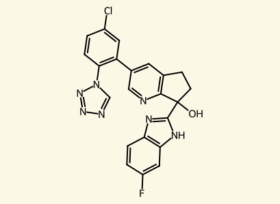 OC1(c2nc3ccc(F)cc3[nH]2)CCc2cc(-c3cc(Cl)ccc3-n3cnnn3)cnc21